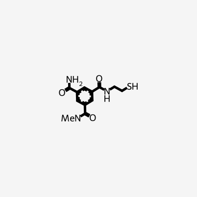 CNC(=O)c1cc(C(N)=O)cc(C(=O)NCCS)c1